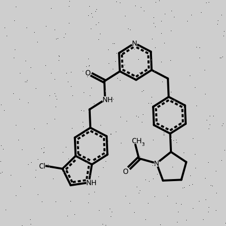 CC(=O)N1CCCC1c1ccc(Cc2cncc(C(=O)NCc3ccc4[nH]cc(Cl)c4c3)c2)cc1